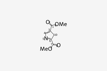 COC(=O)C1=CN=C(C(=O)OC)C1